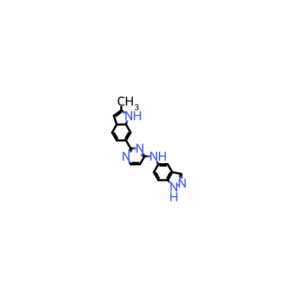 CC1=CC2C=CC(c3nccc(Nc4ccc5[nH]ncc5c4)n3)=CC2N1